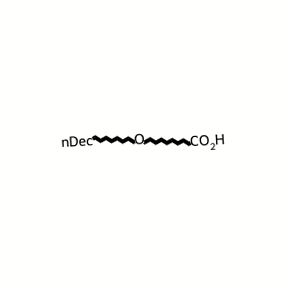 CCCCCCCCCCCCCCCCCCOCCCCCCCCCC(=O)O